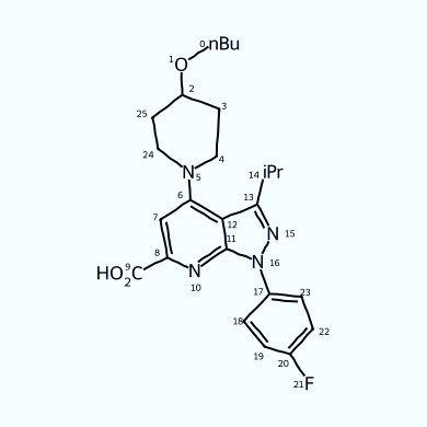 CCCCOC1CCN(c2cc(C(=O)O)nc3c2c(C(C)C)nn3-c2ccc(F)cc2)CC1